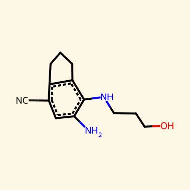 N#Cc1cc(N)c(NCCCO)c2c1CCC2